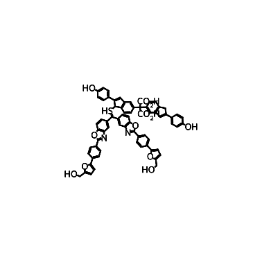 O=C(O)C(C(=O)O)(c1ccc2c(c1)C=C(c1ccc(O)cc1)C2)c1ccc2c(c1)C=C(c1ccc(O)cc1)C2[SH]=C(c1ccc2oc(-c3ccc(-c4ccc(CO)o4)cc3)nc2c1)c1ccc2oc(-c3ccc(-c4ccc(CO)o4)cc3)nc2c1